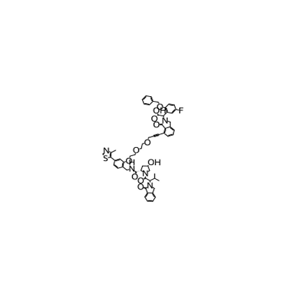 Cc1ncsc1-c1ccc(CNC(=O)[C@@H]2C[C@@H](O)CN2C(=O)C(C(C)C)N2Cc3ccccc3C2=O)c(OCCOCCOCC#Cc2cccc3c2C(=O)N(C(C(=O)O)c2cc(F)ccc2OCc2ccccc2)C3)c1